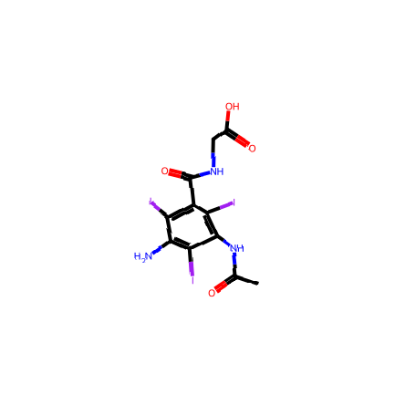 CC(=O)Nc1c(I)c(N)c(I)c(C(=O)NCC(=O)O)c1I